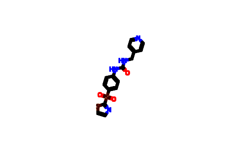 O=C(NCc1ccncc1)Nc1ccc(S(=O)(=O)c2nccs2)cc1